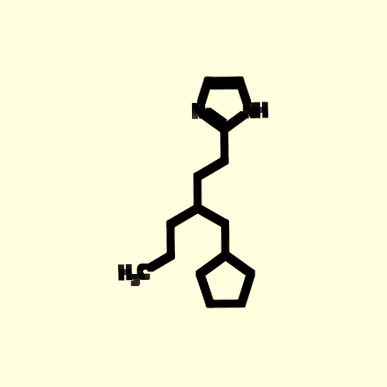 CCCC(CCc1ncc[nH]1)CC1CCCC1